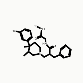 CCNC(=O)CNC(=O)C(Cc1ccccc1)CN1CCC(C)(c2cccc(O)c2)C(C)C1